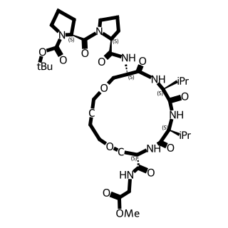 COC(=O)CNC(=O)[C@@H]1COCCCCOC[C@H](NC(=O)[C@@H]2CCCN2C(=O)[C@@H]2CCCN2C(=O)OC(C)(C)C)C(=O)N[C@@H](C(C)C)C(=O)N[C@@H](C(C)C)C(=O)N1